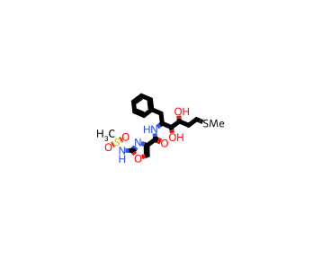 CSCCC(O)C(O)C(Cc1ccccc1)NC(=O)c1coc(NS(C)(=O)=O)n1